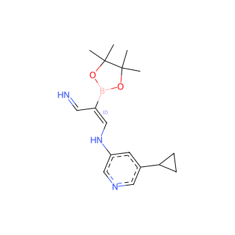 CC1(C)OB(/C(C=N)=C/Nc2cncc(C3CC3)c2)OC1(C)C